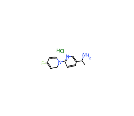 CC(N)c1ccc(N2C=CC(F)=CC2)nc1.Cl